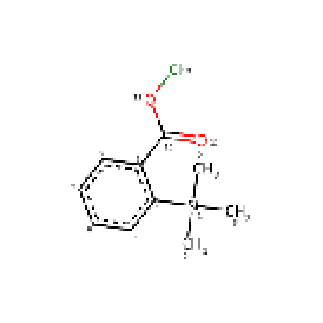 C[Si](C)(C)c1ccccc1C(=O)OCl